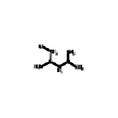 [SiH3]N([SiH3])[SiH2]N([SiH3])[SiH2]Cl